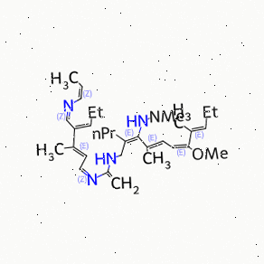 C=C(/N=C\C=C(/C)C(=CCC)/C=N\C=C/C)NC\C(CCC)=C(NNC)/C(C)=C/C=C(OC)\C(C)=C\CC